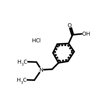 CCN(CC)Cc1ccc(C(=O)O)cc1.Cl